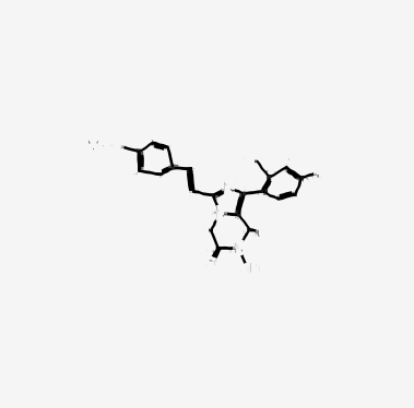 COc1ccc(/C=C/c2nc(-c3ccc(Cl)cc3Cl)c3n2CC(=O)N(C(C)C)C3C)cc1